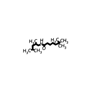 CC(C)CC(C)CNC(=O)CCCCC(C)(C)C